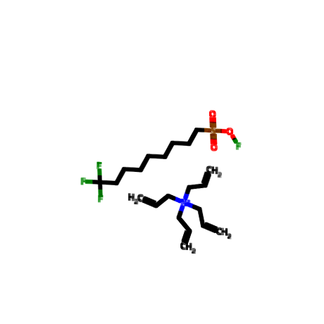 C=CC[N+](CC=C)(CC=C)CC=C.O=S(=O)(CCCCCCCCC(F)(F)F)OF